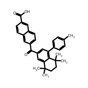 Cc1ccc(-c2cc(C(=O)c3ccc4cc(C(=O)O)ccc4c3)cc3c2C(C)(C)CCC3(C)C)cc1